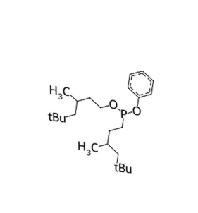 CC(CCOP(CCC(C)CC(C)(C)C)Oc1ccccc1)CC(C)(C)C